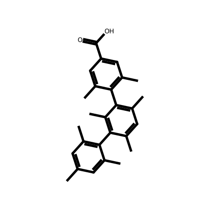 Cc1cc(C)c(-c2c(C)cc(C)c(-c3c(C)cc(C(=O)O)cc3C)c2C)c(C)c1